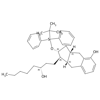 CCCCC[C@@H](O)CC[C@@H]1[C@H]2Cc3cccc(O)c3C[C@H]2C[C@H]1O[Si](c1ccccc1)(c1ccccc1)C(C)(C)C